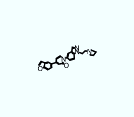 O=c1cc(-c2ccc3occc3c2)ccn1-c1ccc2c(cnn2CCN2CCCC2)c1